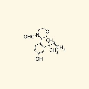 C=CC(C)(C)c1cc(O)ccc1C1COCCN1C=O